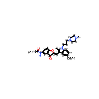 CNC(=O)Nc1ccc2c(c1)C(=O)C(=Cc1c(C)n(CCCN3CCN(C)CC3)c3ccc(OC)cc13)O2